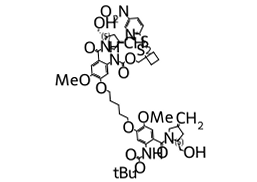 C=C1C[C@@H](CO)N(C(=O)c2cc(OC)c(OCCCCCOc3cc(NC(=O)OC(C)(C)C)c(C(=O)N4CC(=C)C[C@H]4CO)cc3OC)cc2NC(=O)OCC2(SSc3ccc([N+](=O)[O-])cn3)CCC2)C1